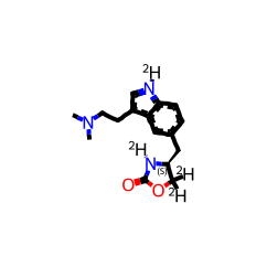 [2H]N1C(=O)OC([2H])([2H])[C@@H]1Cc1ccc2c(c1)c(CCN(C)C)cn2[2H]